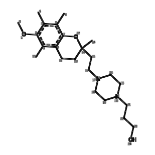 COc1c(C)c(C)c2c(c1C)CCC(C)(CCN1CCN(CCCO)CC1)O2